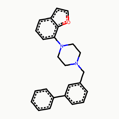 c1ccc(-c2cccc(CN3CCN(c4cccc5ccoc45)CC3)c2)cc1